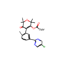 COC(=O)OC1=C(c2cc(-c3ncc(Br)cn3)ccc2C)C(=O)C(C)(C)OC1(C)C